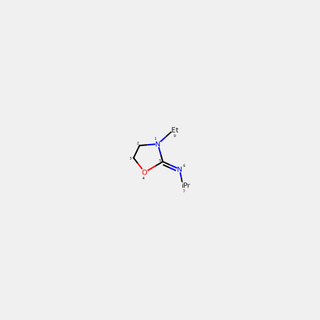 CCN1CCO/C1=N\C(C)C